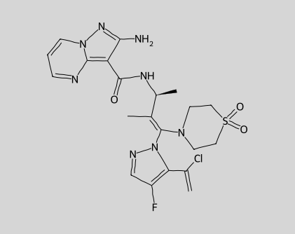 C=C(Cl)c1c(F)cnn1/C(=C(\C)[C@H](C)NC(=O)c1c(N)nn2cccnc12)N1CCS(=O)(=O)CC1